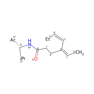 C/C=C(\C=C/CC)CCC(=O)N[C@@H](C(C)=O)C(C)C